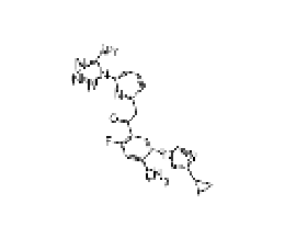 Cc1cc(F)c(C(=O)Cc2cccc(-n3nnnc3C(C)C)n2)cc1-n1cnc(C2CC2)c1